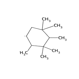 CC1[CH]CC(C)(C)C(C)C1(C)C